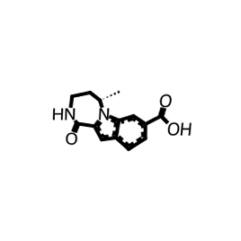 C[C@H]1CCNC(=O)c2cc3ccc(C(=O)O)cc3n21